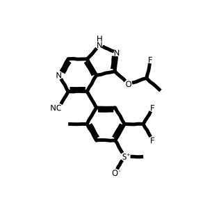 Cc1cc([S+](C)[O-])c(C(F)F)cc1-c1c(C#N)ncc2[nH]nc(OC(C)F)c12